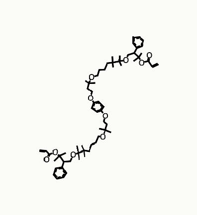 C=CC(=O)OC(C)(C)C(COC(C)(C)C(C)(C)CCCCOC(C)(C)CCOc1ccc(OCCC(C)(C)OCCCCC(C)(C)C(C)(C)OCC(c2ccccc2)C(C)(C)OC(=O)C=C)cc1)c1ccccc1